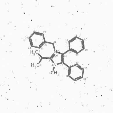 CC(C)c1n(C)c(-c2ccccc2)c(-c2ccccc2)[n+]1Cc1ccccc1